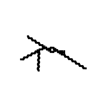 CCCCCCCCCCCCCCNCCN1CCN(CCN(CCCCCCCCC)CCN(CCCCCCCCC)CCCCCCCCC)CC1